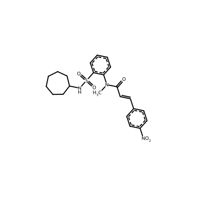 CN(C(=O)C=Cc1ccc([N+](=O)[O-])cc1)c1ccccc1S(=O)(=O)NC1CCCCCC1